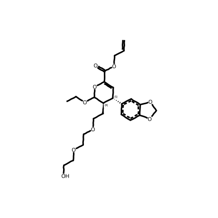 C=CCOC(=O)C1=C[C@H](c2ccc3c(c2)OCO3)[C@@H](CCOCCOCCO)C(OCC)O1